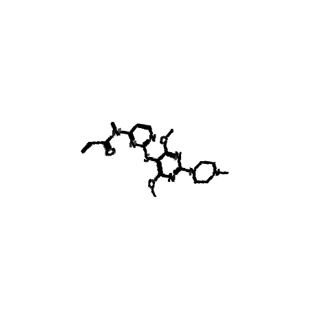 C=CC(=O)N(C)c1ccnc(Sc2c(OC)nc(N3CCN(C)CC3)nc2OC)n1